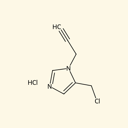 C#CCn1cncc1CCl.Cl